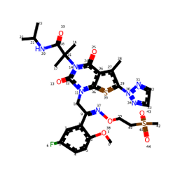 COc1ccc(F)cc1/C(Cn1c(=O)n(C(C)(C)C(=O)NC(C)C)c(=O)c2c(C)c(-n3nccn3)sc21)=N\OCCS(C)(=O)=O